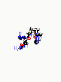 CCCN(C(=O)[C@@H](NC(=O)[C@H]1CCCCN1C)[C@@H](C)CC)[C@H](C[C@@H](OCC)c1nc(C(=O)N[C@@H](Cc2ccc(NC(=O)CN)cc2)C[C@H](C)c2nnn[nH]2)cs1)C(C)C